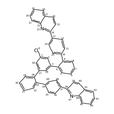 Clc1cc(-c2ccccc2-c2ccc(-c3ccc4ccccc4n3)cc2)cc(-c2ccccc2-c2ccc(-c3ccc4ccccc4n3)cc2)c1